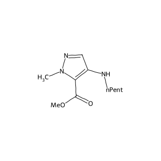 CCCCCNc1cnn(C)c1C(=O)OC